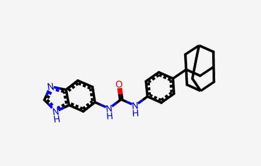 O=C(Nc1ccc(C23CC4CC(CC(C4)C2)C3)cc1)Nc1ccc2nc[nH]c2c1